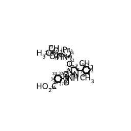 Cc1cccc(C)c1-c1cc(OC[C@@H](CC(C)C)NC[C@H]2COC(C)(C)O2)nc(NS(=O)(=O)c2cccc(C(=O)O)c2)n1